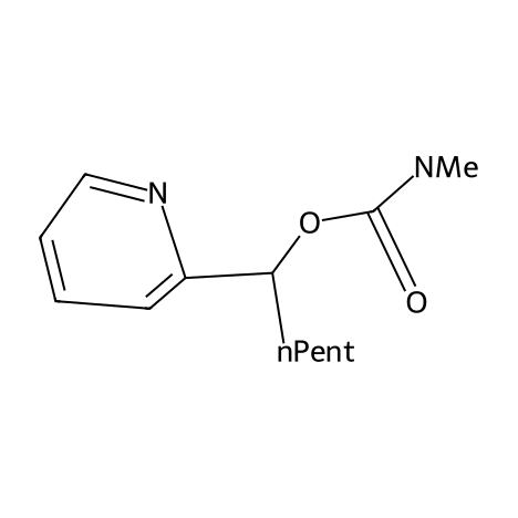 CCCCCC(OC(=O)NC)c1ccccn1